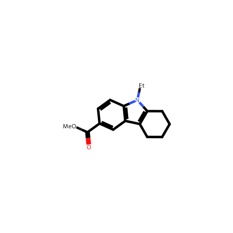 CCn1c2c(c3cc(C(=O)OC)ccc31)CCCC2